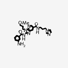 COCCCn1c(NC(=O)c2cccc(N)c2)nc2cc(C(=O)NCCCn3ccnc3)cnc21